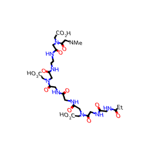 CCC(=O)NCC(=O)NCC(=O)N(CC(=O)O)CC(=O)NCC(=O)NCC(=O)N(CC(=O)O)CC(=O)NCCNC(=O)CN(CC(=O)O)C(=O)CNC